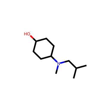 CC(C)CN(C)C1CCC(O)CC1